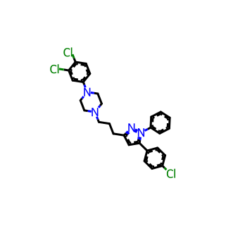 Clc1ccc(-c2cc(CCCN3CCN(c4ccc(Cl)c(Cl)c4)CC3)nn2-c2ccccc2)cc1